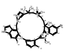 Cn1nc2nc1-c1cc(ccc1F)Oc1c(F)cc3[nH]ccc3c1Cn1cc(cn1)C(C)(C)CS(=O)(=O)CCC2(C)c1cccc(Br)c1